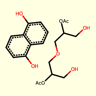 CC(=O)OC(CO)COCC(CO)OC(C)=O.Oc1cccc2c(O)cccc12